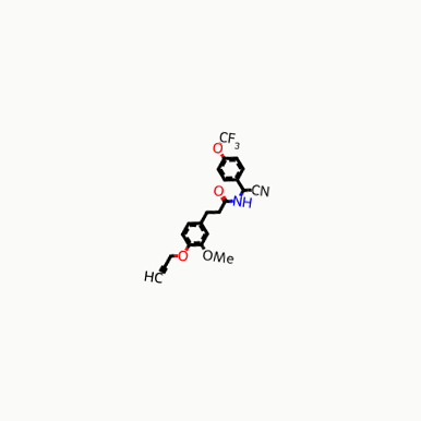 C#CCOc1ccc(CCC(=O)NC(C#N)c2ccc(OC(F)(F)F)cc2)cc1OC